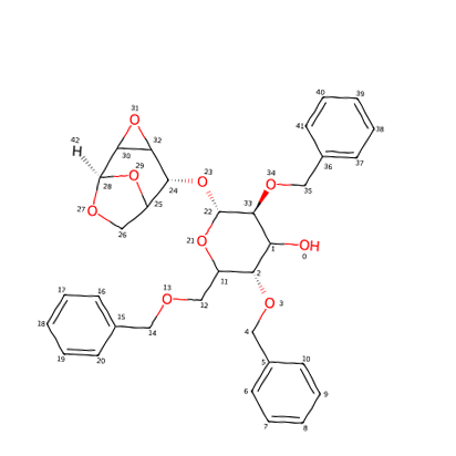 OC1[C@H](OCc2ccccc2)C(COCc2ccccc2)O[C@H](O[C@@H]2C3CO[C@H](O3)C3OC32)[C@H]1OCc1ccccc1